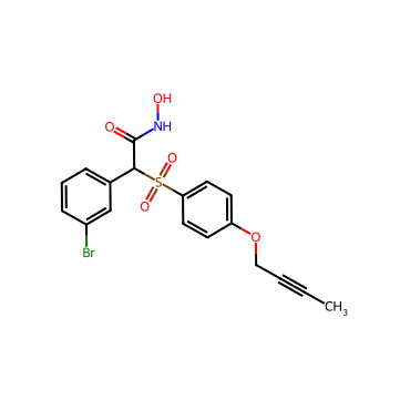 CC#CCOc1ccc(S(=O)(=O)C(C(=O)NO)c2cccc(Br)c2)cc1